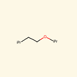 CC(C)C[CH]OC(C)C